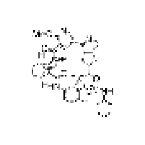 COc1ncc(C2=NOC3CC(C(OC(=O)Nc4ccccc4)C(F)(F)F)CC23)cc1C(=O)N[C@H]1[C@@H](C(=O)Nc2ccc(F)c(C(F)(F)F)c2)[C@H]2CC[C@@H]1/C2=C\C1CCCC1